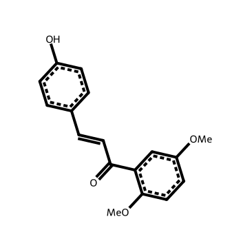 COc1ccc(OC)c(C(=O)C=Cc2ccc(O)cc2)c1